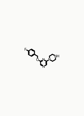 Fc1ccc(COc2cncc(N3CCNCC3)n2)cc1